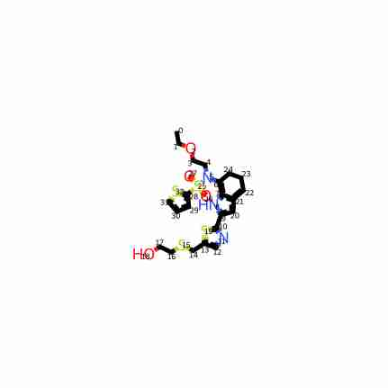 CCOCCN(C1=c2[nH]c(-c3ncc(CSCCO)s3)cc2=CCC1)S(=O)(=O)c1cccs1